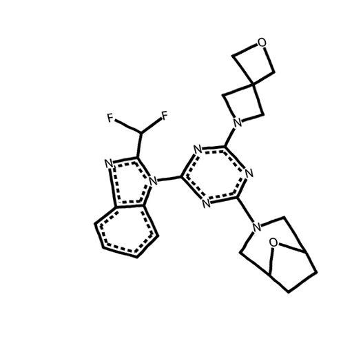 FC(F)c1nc2ccccc2n1-c1nc(N2CC3CCC(C2)O3)nc(N2CC3(COC3)C2)n1